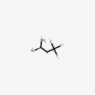 CC(=O)[C@@H](N)CC(F)(F)F